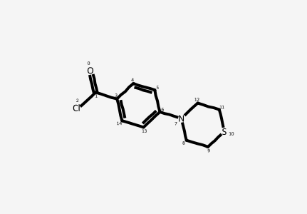 O=C(Cl)c1ccc(N2CCSCC2)cc1